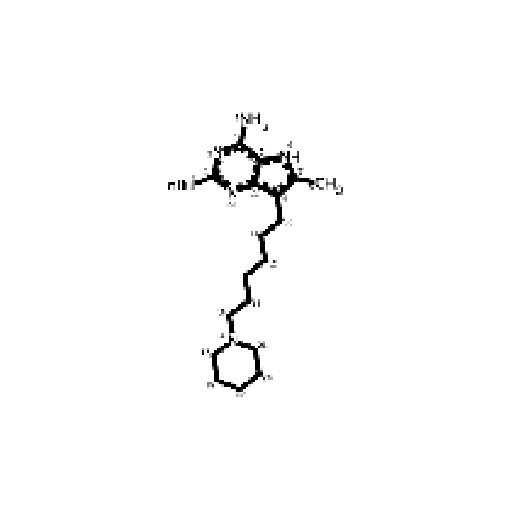 CCCCc1nc(N)c2[nH]c(C)c(CCCCCCN3CCCCC3)c2n1